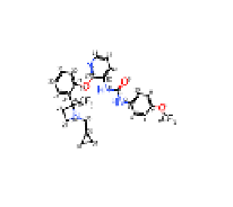 O=C(Nc1ccc(OC(F)(F)F)cc1)Nc1cccnc1Oc1ccccc1C1(C(F)(F)F)CCN1CC1CC1